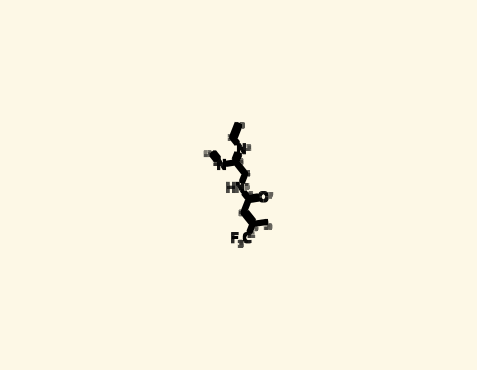 C=C/N=C(/CNC(=O)/C=C(\C)C(F)(F)F)N=C